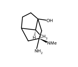 CN[C@@]1(N)CC2CCC(O)(C1)[C@H]2C